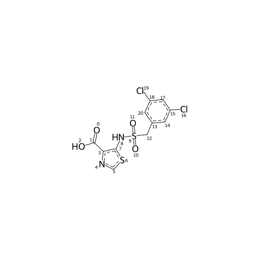 O=C(O)c1ncsc1NS(=O)(=O)Cc1cc(Cl)cc(Cl)c1